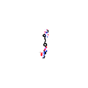 CN1CCC[C@@H]1c1cc2cnc(NC(=O)c3ccc(CCC#Cc4cccc5c4n(C)c(=O)n5C4CCC(=O)NC4=O)cc3)cc2n1C(=O)OC(C)(C)C